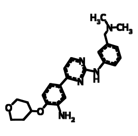 CN(C)Cc1cccc(Nc2nccc(-c3ccc(OC4CCOCC4)c(N)c3)n2)c1